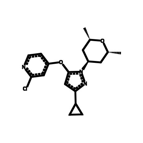 C[C@@H]1C[C@@H](n2nc(C3CC3)cc2Oc2ccnc(Cl)c2)C[C@H](C)O1